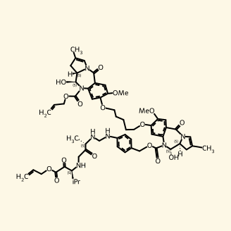 C=CCOC(=O)C(=O)[C@@H](NCC(=O)[C@H](C)NCNc1ccc(COC(=O)N2c3cc(OCCCCCOc4cc5c(cc4OC)C(=O)N4C=C(C)C[C@H]4[C@H](O)N5C(=O)OCC=C)c(OC)cc3C(=O)N3C=C(C)C[C@H]3[C@@H]2O)cc1)C(C)C